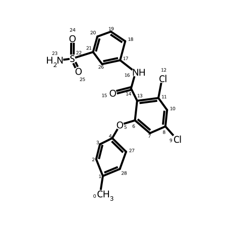 Cc1ccc(Oc2cc(Cl)cc(Cl)c2C(=O)Nc2cccc(S(N)(=O)=O)c2)cc1